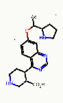 CC(=O)C(Oc1ccc2c(C3CCNCC3C(=O)O)ncnc2c1)C1CCCN1